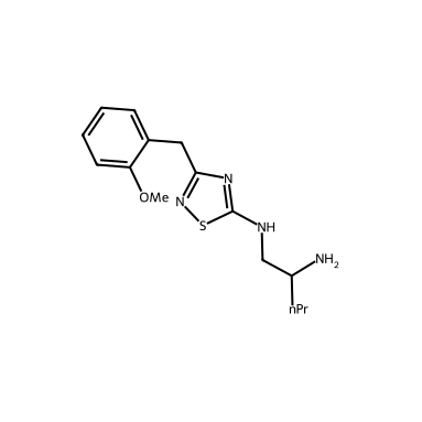 CCCC(N)CNc1nc(Cc2ccccc2OC)ns1